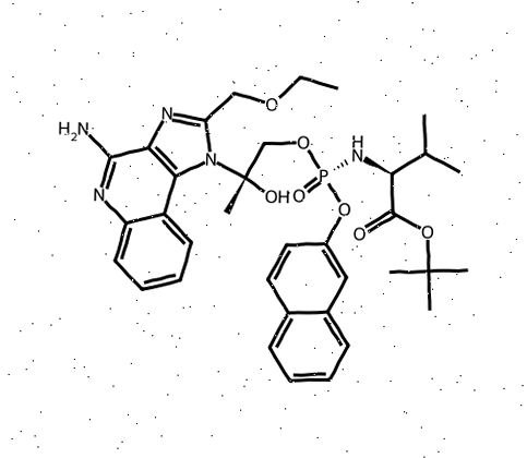 CCOCc1nc2c(N)nc3ccccc3c2n1[C@@](C)(O)CO[P@@](=O)(N[C@H](C(=O)OC(C)(C)C)C(C)C)Oc1ccc2ccccc2c1